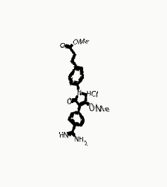 COC(=O)CCc1ccc(N2CC(OC)=C(c3ccc(C(=N)N)cc3)C2=O)cc1.Cl